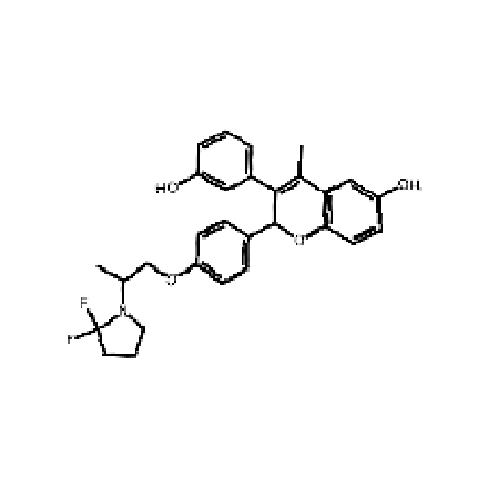 CC1=C(c2cccc(O)c2)C(c2ccc(OCC(C)N3CCCC3(F)F)cc2)Oc2ccc(O)cc21